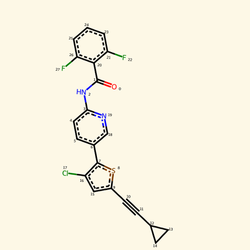 O=C(Nc1ccc(-c2sc(C#CC3CC3)cc2Cl)cn1)c1c(F)cccc1F